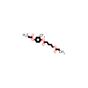 C=CC(=O)OCCCCC(=O)Oc1ccc(OC(=O)C=C)cc1C(F)(F)F